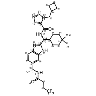 C[C@@H](NC(=O)CCC(F)(F)F)c1ccc2nc([C@@H](NC(=O)c3cnnn3CC3CCC3)C3CCC(F)(F)CC3)[nH]c2c1